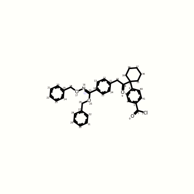 O=C(Cl)c1ccc(C2(C(=O)Cc3ccc(/C(=N/OCc4ccccc4)OCc4ccccc4)cc3)CCCCC2)cc1